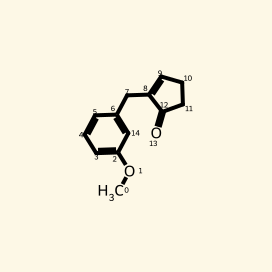 COc1cccc(CC2=CCCC2=O)c1